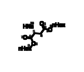 CCCCCCOC(=O)CCC(=O)OCCCCCC.[NaH]